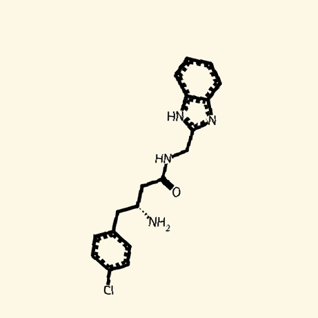 N[C@@H](CC(=O)NCc1nc2ccccc2[nH]1)Cc1ccc(Cl)cc1